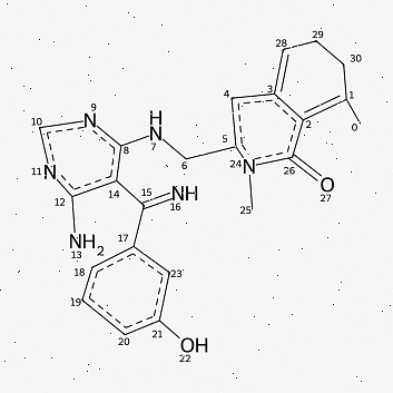 CC1=c2c(cc(CNc3ncnc(N)c3C(=N)c3cccc(O)c3)n(C)c2=O)=CCC1